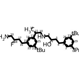 CC(C)c1cc(CC[C@H](O)CNCC(C)c2cc(CC[C@H](F)CN)cc(C(C)(C)C)c2)cc(C(C)(C)C)c1